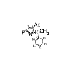 CC(=O)c1cc(F)nn1[C@H](C)c1ccccc1